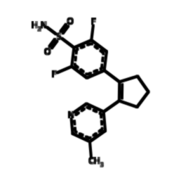 Cc1cncc(C2=C(c3cc(F)c(S(N)(=O)=O)c(F)c3)CCC2)c1